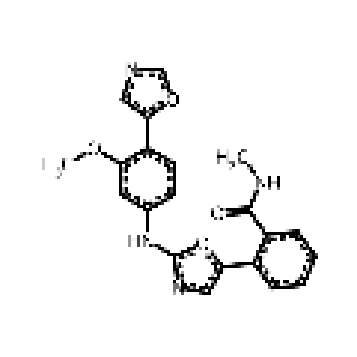 CNC(=O)c1ccccc1-c1cnc(Nc2ccc(-c3cnco3)c(OC)c2)o1